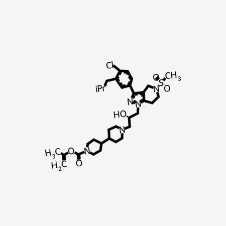 C=C(C)OC(=O)N1CCC(C2CCN(C[C@H](O)Cn3nc(-c4ccc(Cl)c(CC(C)C)c4)c4c3CCN(S(C)(=O)=O)C4)CC2)CC1